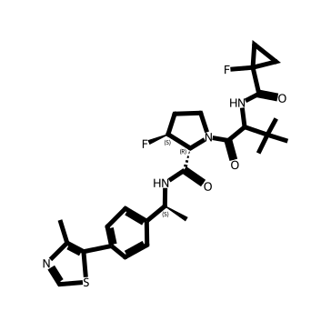 Cc1ncsc1-c1ccc([C@H](C)NC(=O)[C@@H]2[C@@H](F)CCN2C(=O)C(NC(=O)C2(F)CC2)C(C)(C)C)cc1